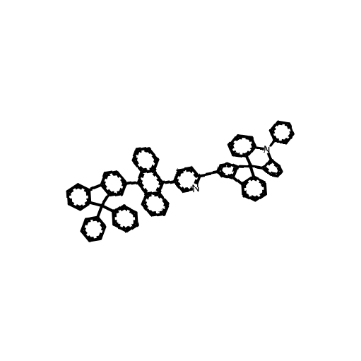 c1ccc(N2c3ccccc3C3(c4ccccc4-c4cc(-c5ccc(-c6c7ccccc7c(-c7ccc8c(c7)C(c7ccccc7)(c7ccccc7)c7ccccc7-8)c7ccccc67)cn5)ccc43)c3ccccc32)cc1